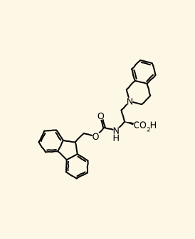 O=C(N[C@@H](CN1CCc2ccccc2C1)C(=O)O)OCC1c2ccccc2-c2ccccc21